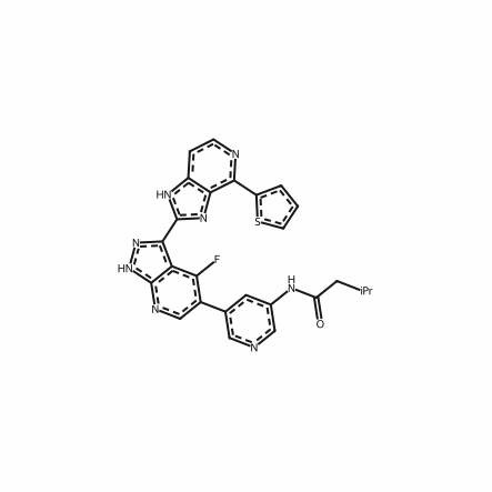 CC(C)CC(=O)Nc1cncc(-c2cnc3[nH]nc(-c4nc5c(-c6cccs6)nccc5[nH]4)c3c2F)c1